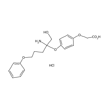 Cl.NC(CO)(CCCOc1ccccc1)Oc1ccc(OCC(=O)O)cc1